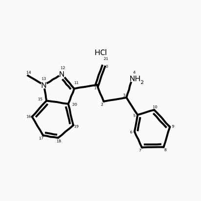 C=C(CC(N)c1ccccc1)c1nn(C)c2ccccc12.Cl